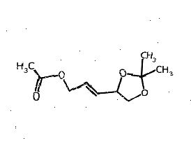 CC(=O)OCC=CC1COC(C)(C)O1